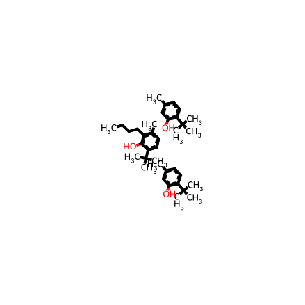 CCCCc1c(C)ccc(C(C)(C)C)c1O.Cc1ccc(C(C)(C)C)c(O)c1.Cc1ccc(C(C)(C)C)c(O)c1